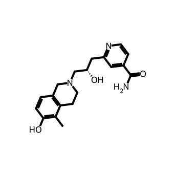 Cc1c(O)ccc2c1CCN(C[C@@H](O)Cc1cc(C(N)=O)ccn1)C2